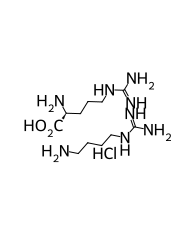 Cl.N=C(N)NCCCCN.N=C(N)NCCC[C@H](N)C(=O)O